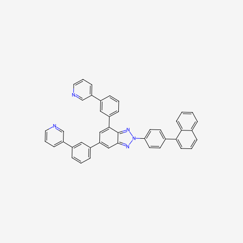 c1cncc(-c2cccc(-c3cc(-c4cccc(-c5cccnc5)c4)c4nn(-c5ccc(-c6cccc7ccccc67)cc5)nc4c3)c2)c1